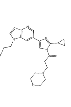 C=C(CCN1CCOCC1)n1cc(-c2cnc3ccn(CCF)c3c2)nc1C1CC1